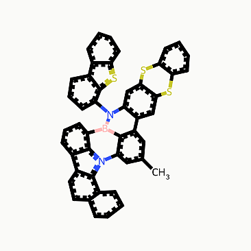 Cc1cc2c3c(c1)-n1c4c(cccc4c4ccc5ccccc5c41)B3N(c1cccc3c1sc1ccccc13)c1cc3c(cc1-2)Sc1ccccc1S3